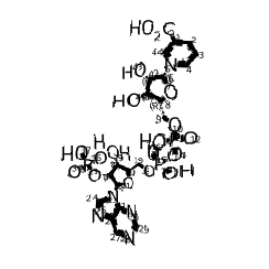 O=C(O)c1ccc[n+]([C@@H]2O[C@H](COP(=O)(O)OP(=O)(O)OC[C@H]3O[C@@H](n4cnc5cncnc54)[C@H](OP(=O)(O)O)[C@@H]3O)[C@@H](O)[C@H]2O)c1